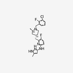 CC1=CC(Nc2ccc(F)c(C[C@H]3CCN(Cc4cccc(Cl)c4F)[C@H](C)C3)n2)NN1